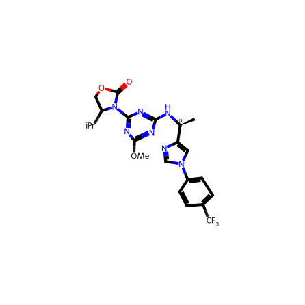 COc1nc(N[C@@H](C)c2cn(-c3ccc(C(F)(F)F)cc3)cn2)nc(N2C(=O)OCC2C(C)C)n1